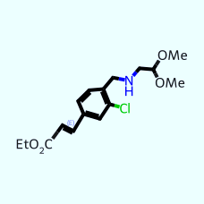 CCOC(=O)/C=C/c1ccc(CNCC(OC)OC)c(Cl)c1